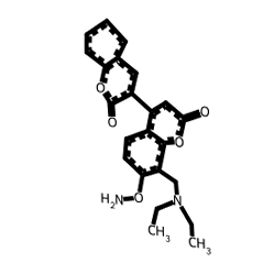 CCN(CC)Cc1c(ON)ccc2c(-c3cc4ccccc4oc3=O)cc(=O)oc12